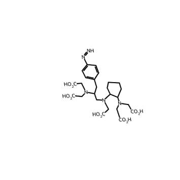 N=Nc1ccc(CC(CN(CC(=O)O)C2CCCCC2N(CC(=O)O)CC(=O)O)N(CC(=O)O)CC(=O)O)cc1